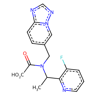 CC(c1ncccc1F)N(Cc1ccc2ncnn2c1)C(=O)C(=O)O